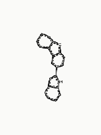 [c]1c(-c2cc3ccccc3[nH]2)ccc2oc3ccccc3c12